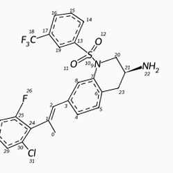 C/C(=C\c1ccc2c(c1)N(S(=O)(=O)c1cccc(C(F)(F)F)c1)C[C@@H](N)C2)c1c(F)cccc1Cl